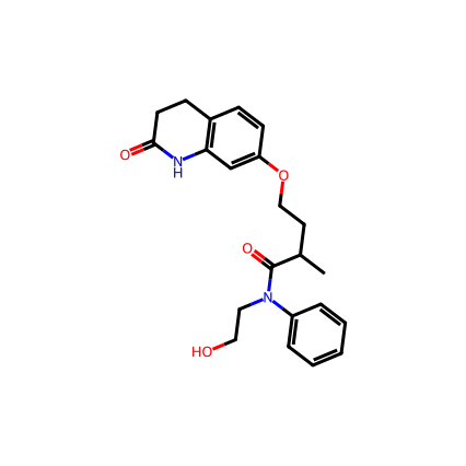 CC(CCOc1ccc2c(c1)NC(=O)CC2)C(=O)N(CCO)c1ccccc1